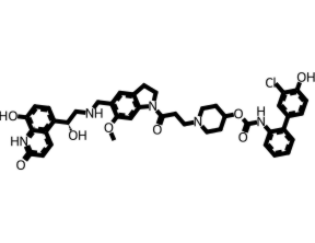 COc1cc2c(cc1CNC[C@H](O)c1ccc(O)c3[nH]c(=O)ccc13)CCN2C(=O)CCN1CCC(OC(=O)Nc2ccccc2-c2ccc(O)c(Cl)c2)CC1